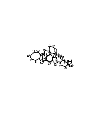 N=C1c2ccc(O[C@H]3CCCCC[C@@H]3NCC3CCOCC3)cc2CN1C1CCC(=O)NC1=O